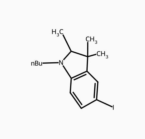 CCCCN1c2ccc(I)cc2C(C)(C)C1C